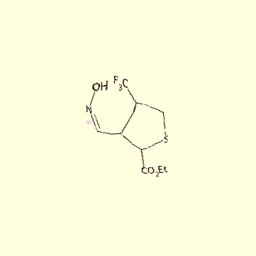 CCOC(=O)C1SCC(C(F)(F)F)C1/C=N\O